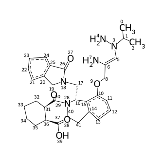 CC(C)N(N)/C=C(\N)COc1cccc2c1[C@@H](CN1Cc3ccccc3C1=O)N(C(=O)[C@@H]1CCCC[C@@H]1C(=O)O)CC2